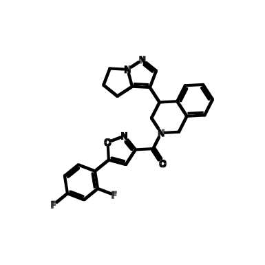 O=C(c1cc(-c2ccc(F)cc2F)on1)N1Cc2ccccc2C(c2cnn3c2CCC3)C1